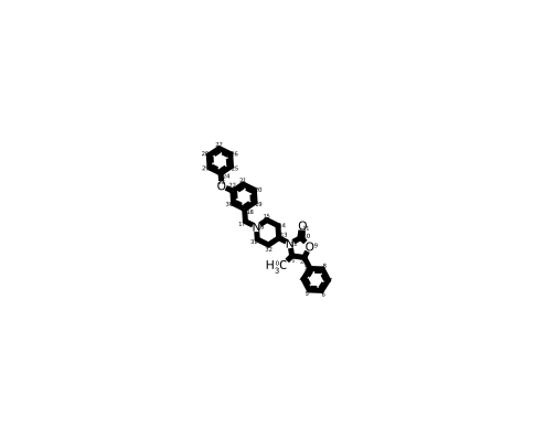 CC1C(c2ccccc2)OC(=O)N1C1CCN(Cc2cccc(Oc3ccccc3)c2)CC1